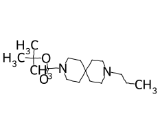 CCCN1CCC2(CC1)CCN(C(=O)OC(C)(C)C)CC2